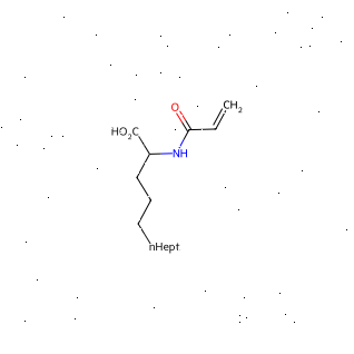 C=CC(=O)NC(CCCCCCCCCC)C(=O)O